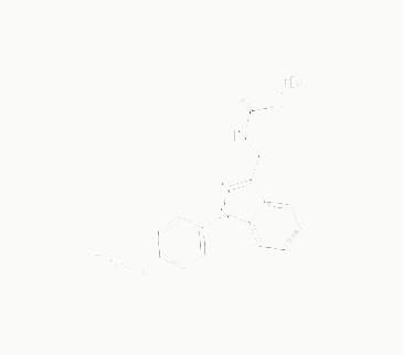 CC(C)(C)OC(=O)NCc1nn(-c2ccc(OC(F)(F)F)cc2)c2ccccc12